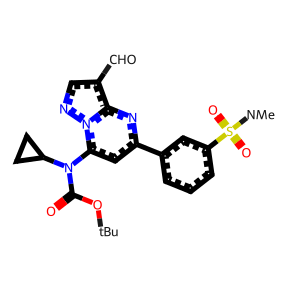 CNS(=O)(=O)c1cccc(-c2cc(N(C(=O)OC(C)(C)C)C3CC3)n3ncc(C=O)c3n2)c1